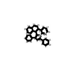 c1ccc(-c2cc(-c3ccccc3)n3c4ncccc4c4ccc5ccccc5c4c23)cc1